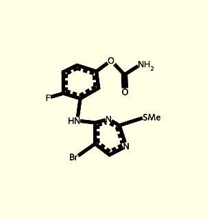 CSc1ncc(Br)c(Nc2cc(OC(N)=O)ccc2F)n1